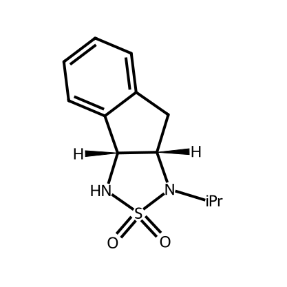 CC(C)N1[C@H]2Cc3ccccc3[C@H]2NS1(=O)=O